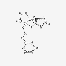 c1ccc(CCCC2(Cn3ccnc3)OCCO2)cc1